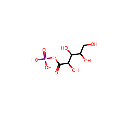 O=C(OP(=O)(O)O)C(O)C(O)C(O)CO